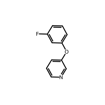 Fc1cccc(Oc2cccnc2)c1